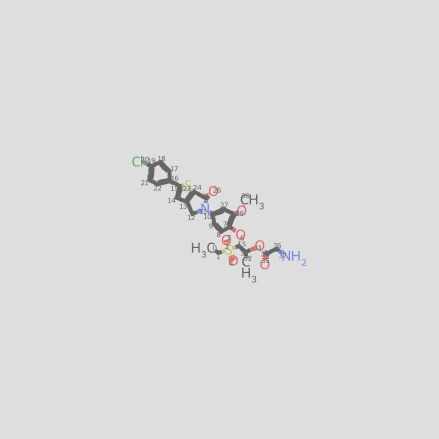 CCS(=O)(=O)[C@H](Oc1ccc(N2Cc3cc(-c4ccc(Cl)cc4)sc3C2=O)cc1OC)C(C)OC(=O)CN